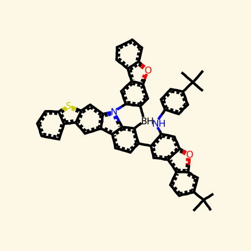 CC(C)(C)c1ccc(Nc2cc3oc4cc(C(C)(C)C)ccc4c3cc2-c2ccc3c4cc5c(cc4n4c3c2Bc2cc3oc6ccccc6c3cc2-4)sc2ccccc25)cc1